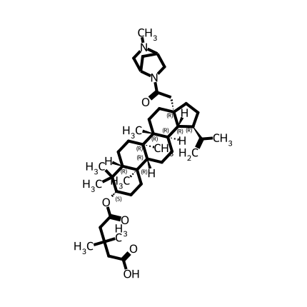 C=C(C)[C@@H]1CC[C@]2(CC(=O)N3CC4CC3CN4C)CC[C@]3(C)[C@H](CC[C@@H]4[C@@]5(C)CC[C@H](OC(=O)CC(C)(C)CC(=O)O)C(C)(C)[C@@H]5CC[C@]43C)[C@@H]12